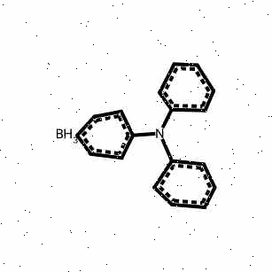 B.c1ccc(N(c2ccccc2)c2ccccc2)cc1